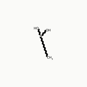 CCCCCCCCCCCCCCN(CCCCO)CCCCO